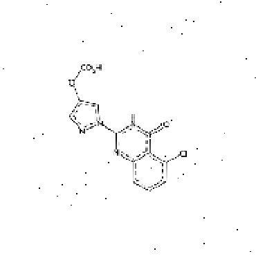 O=C(O)Oc1cnn(-c2nc3cccc(Cl)c3c(=O)[nH]2)c1